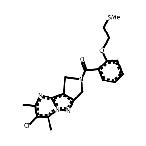 CSCCOc1ccccc1C(=O)N1Cc2nn3c(C)c(Cl)c(C)nc3c2C1